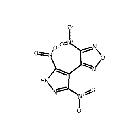 O=[N+]([O-])c1nonc1-c1c([N+](=O)[O-])n[nH]c1[N+](=O)[O-]